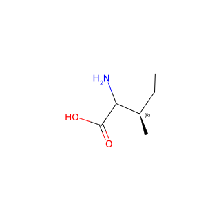 CC[C@@H](C)C(N)C(=O)O